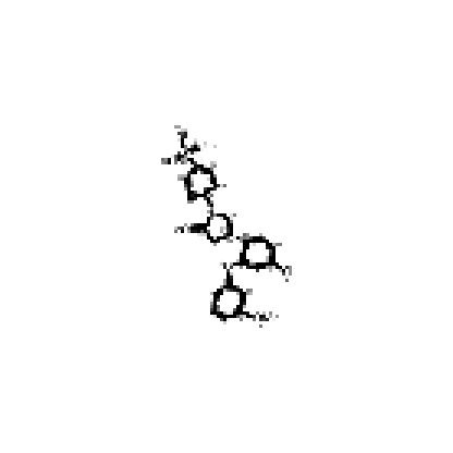 COc1cccc(Oc2cc(Cl)ccc2[C@H]2CC(=O)N(c3ccc(S(N)(=O)=O)cc3)C2)c1